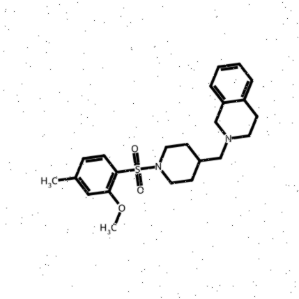 COc1cc(C)ccc1S(=O)(=O)N1CCC(CN2CCc3ccccc3C2)CC1